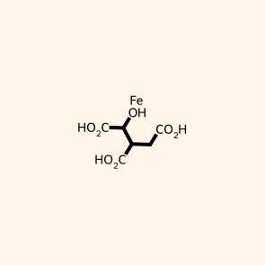 O=C(O)CC(C(=O)O)C(O)C(=O)O.[Fe]